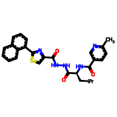 Cc1ccc(C(=O)N[C@@H](CC(C)C)C(=O)NNC(=O)c2csc(-c3cccc4ccccc34)n2)cn1